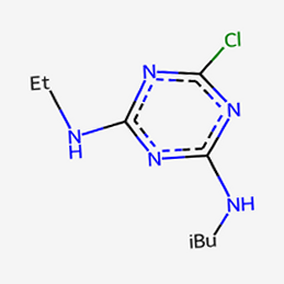 CCNc1nc(Cl)nc(NC(C)CC)n1